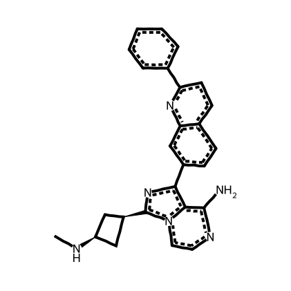 CN[C@H]1C[C@@H](c2nc(-c3ccc4ccc(-c5ccccc5)nc4c3)c3c(N)nccn32)C1